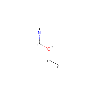 CCOC[N]